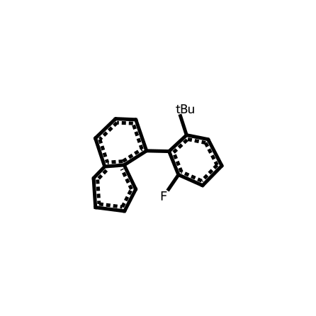 CC(C)(C)c1cccc(F)c1-c1cccc2ccccc12